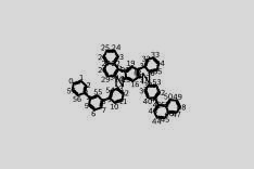 c1ccc(-c2cccc(-c3cccc(-n4c5cc6c(cc5c5c7ccccc7ccc54)c4ccccc4n6-c4ccc(-c5cccc6ccccc56)cc4)c3)c2)cc1